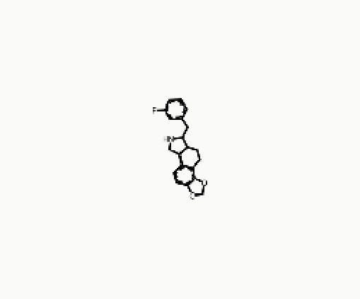 Fc1cccc(CC2NCC3c4ccc5c(c4CCC23)OCO5)c1